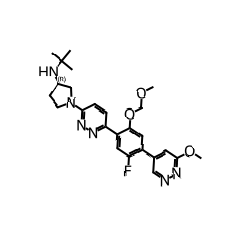 COCOc1cc(-c2cnnc(OC)c2)c(F)cc1-c1ccc(N2CC[C@@H](NC(C)(C)C)C2)nn1